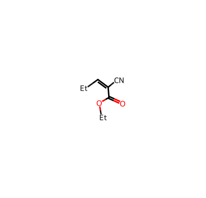 CCC=C(C#N)C(=O)OCC